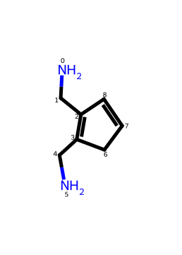 NCC1=C(CN)CC=C1